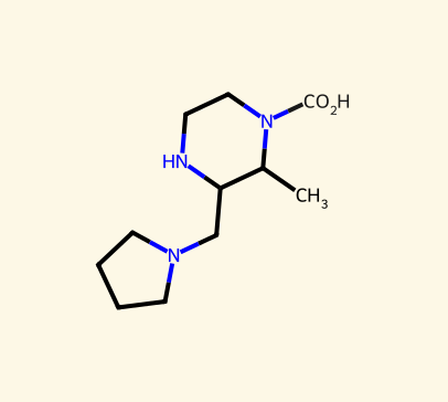 CC1C(CN2CCCC2)NCCN1C(=O)O